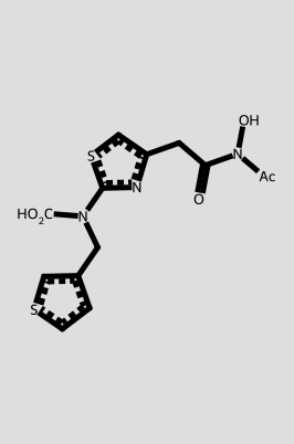 CC(=O)N(O)C(=O)Cc1csc(N(Cc2ccsc2)C(=O)O)n1